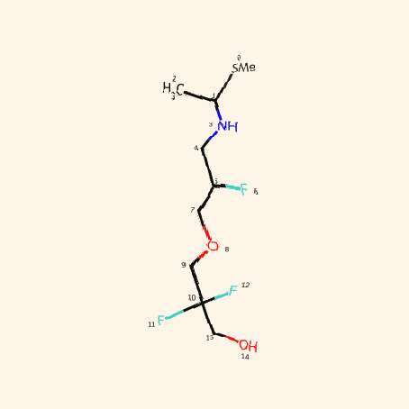 CSC(C)NCC(F)COCC(F)(F)CO